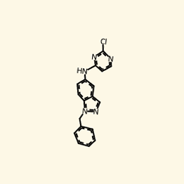 Clc1nccc(Nc2ccc3c(cnn3Cc3ccccc3)c2)n1